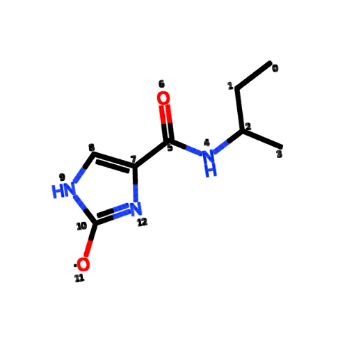 CCC(C)NC(=O)c1c[nH]c([O])n1